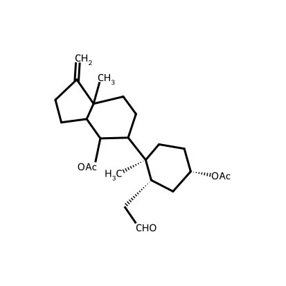 C=C1CCC2C(OC(C)=O)C([C@@]3(C)CC[C@H](OC(C)=O)C[C@@H]3CC=O)CCC12C